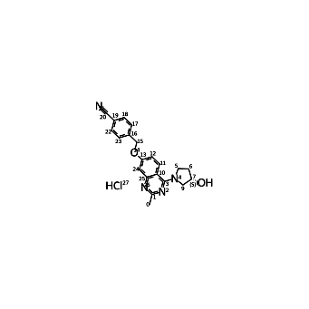 Cc1nc(N2CC[C@H](O)C2)c2ccc(OCc3ccc(C#N)cc3)cc2n1.Cl